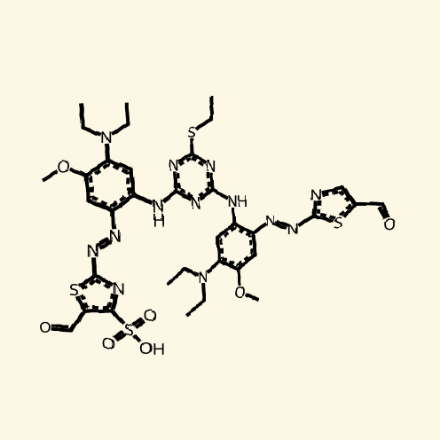 CCSc1nc(Nc2cc(N(CC)CC)c(OC)cc2/N=N/c2ncc(C=O)s2)nc(Nc2cc(N(CC)CC)c(OC)cc2/N=N/c2nc(S(=O)(=O)O)c(C=O)s2)n1